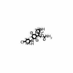 COC12C(COC(N)=O)C3=C(C(=O)C=C(Nc4ccc(Cl)nc4)C3=O)N1CC1NC12